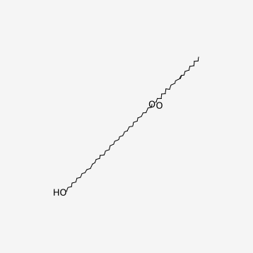 CCCCCCCCC=CCCCCCCCCCC(=O)OCCCCCCCCCCCCCCCCCCCCCCCCCCCCCCCCCCCCCO